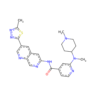 Cc1nnc(-c2cnc3cnc(NC(=O)c4ccnc(N(C)C5CCN(C)CC5)c4)cc3c2)s1